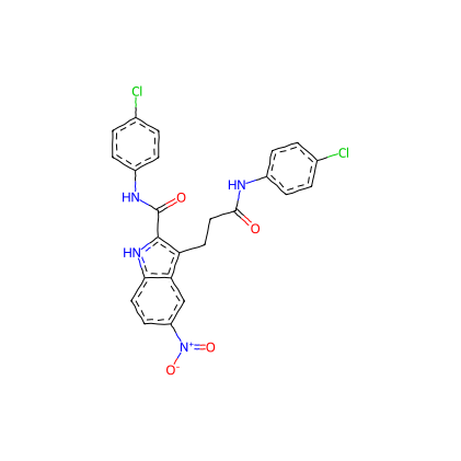 O=C(CCc1c(C(=O)Nc2ccc(Cl)cc2)[nH]c2ccc([N+](=O)[O-])cc12)Nc1ccc(Cl)cc1